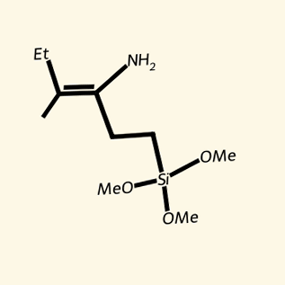 CCC(C)=C(N)CC[Si](OC)(OC)OC